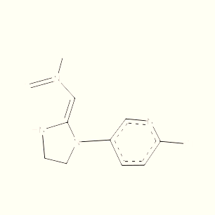 O=[N+]([O-])/C=C1\NCCN1c1ccc(Cl)nc1